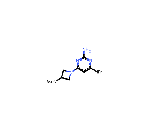 CNC1CN(c2cc(C(C)C)nc(N)n2)C1